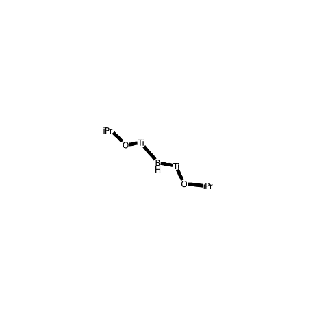 CC(C)[O][Ti][BH][Ti][O]C(C)C